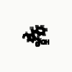 CCN1CC[C@@H](CC(=O)O)C1C(C)c1ccccc1